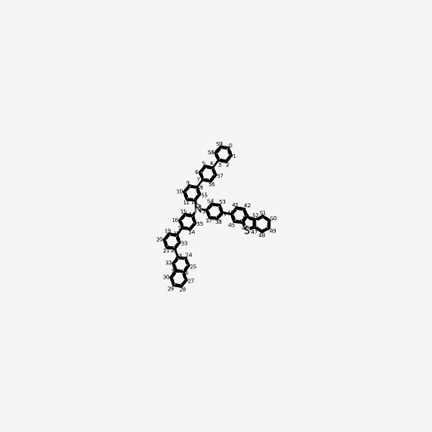 c1ccc(-c2ccc(-c3cccc(N(c4ccc(-c5cccc(-c6ccc7ccccc7c6)c5)cc4)c4ccc(-c5ccc6c(c5)sc5ccccc56)cc4)c3)cc2)cc1